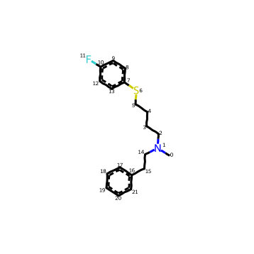 CN(CCCCSc1ccc(F)cc1)CCc1ccccc1